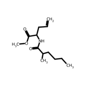 C=CCC(NC(=O)C(C)CCCC)C(=O)OC